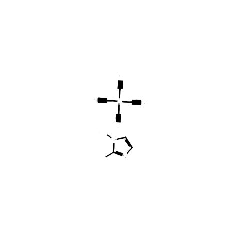 Cc1[nH+]ccn1C.N#C[B-](C#N)(C#N)C#N